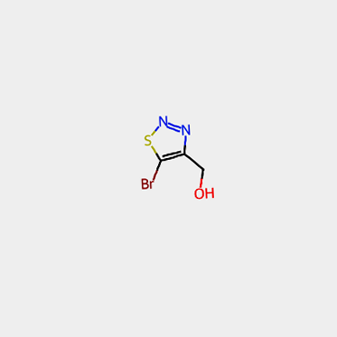 OCc1nnsc1Br